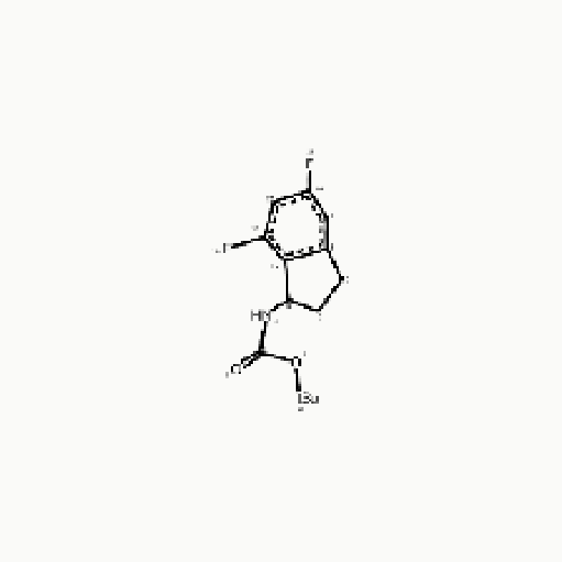 CC(C)(C)OC(=O)NC1CCc2cc(F)cc(F)c21